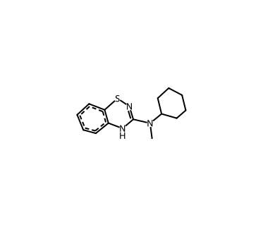 CN(C1=NSc2ccccc2N1)C1CCCCC1